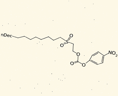 CCCCCCCCCCCCCCCCCCS(=O)(=O)CCOC(=O)Oc1ccc([N+](=O)[O-])cc1